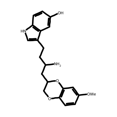 COc1ccc2c(c1)OC(CC(N)CCc1c[nH]c3ccc(O)cc13)CO2